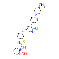 CN1CCN(c2ccc(-c3cc(Oc4ccc5nc(N[C@@H]6CCCC[C@H]6O)sc5c4)cnc3Cl)cn2)CC1